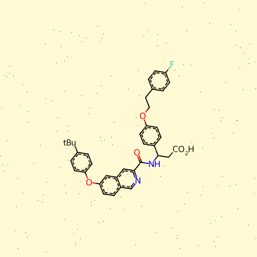 CC(C)(C)c1ccc(Oc2ccc3cnc(C(=O)NC(CC(=O)O)c4ccc(OCCc5ccc(F)cc5)cc4)cc3c2)cc1